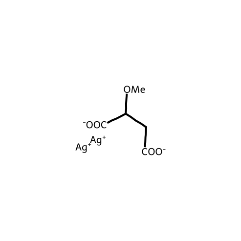 COC(CC(=O)[O-])C(=O)[O-].[Ag+].[Ag+]